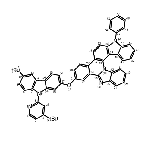 CC(C)(C)c1ccnc(-n2c3ccc(C(C)(C)C)cc3c3ccc(Oc4ccc5c(c4)c4nc6ccccc6n4c4c5ccc5c4c4ccccc4n5-c4ccccc4)cc32)c1